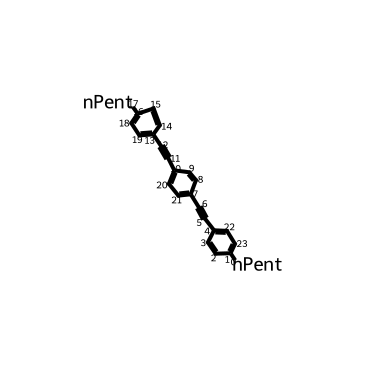 CCCCCc1ccc(C#Cc2ccc(C#Cc3ccc(CCCCC)cc3)cc2)cc1